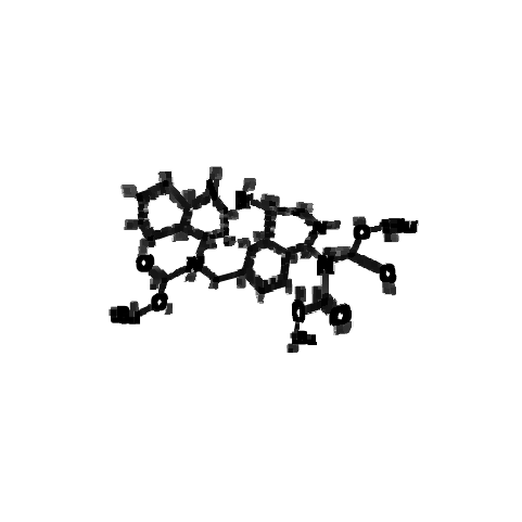 CC(C)(C)OC(=O)N(Cc1ccc2c(N(C(=O)OC(C)(C)C)C(=O)OC(C)(C)C)ncc(Br)c2c1)c1ccnc2ccccc12